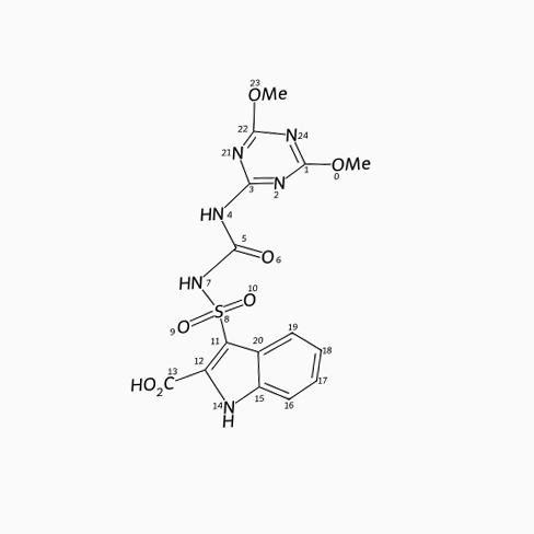 COc1nc(NC(=O)NS(=O)(=O)c2c(C(=O)O)[nH]c3ccccc23)nc(OC)n1